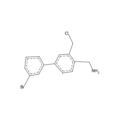 NCc1c[c]c(-c2cccc(Br)c2)cc1CCl